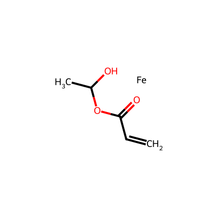 C=CC(=O)OC(C)O.[Fe]